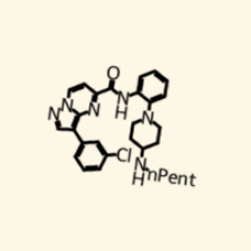 CCCCCNC1CCN(c2ccccc2NC(=O)c2ccn3ncc(-c4cccc(Cl)c4)c3n2)CC1